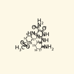 CS(=O)(=O)c1ccc(Nc2nc(N[C@@H]3CCCC[C@@H]3N)[nH]c(=O)c2C(N)=O)cc1